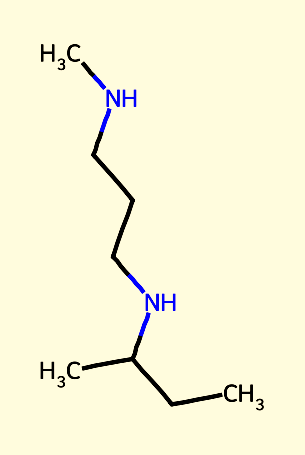 CCC(C)NCCCNC